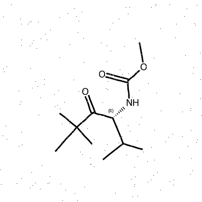 COC(=O)N[C@@H](C(=O)C(C)(C)C)C(C)C